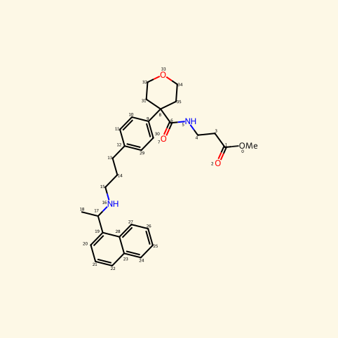 COC(=O)CCNC(=O)C1(c2ccc(CCCNC(C)c3cccc4ccccc34)cc2)CCOCC1